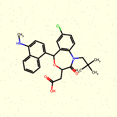 CNc1ccc(C2OC(CC(=O)O)C(=O)N(CC(C)(C)C)c3ccc(Cl)cc32)c2ccccc12